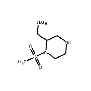 COCC1CNCCN1S(C)(=O)=O